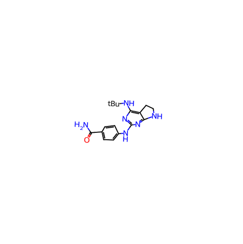 CC(C)(C)Nc1nc(Nc2ccc(C(N)=O)cc2)nc2c1CCN2